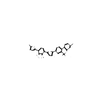 CCCCCCCCC1(CCCCCCCC)Oc2cc(C)ccc2-c2ccc(-c3ccc(-c4ccc(-c5ccc(C)s5)c5nsnc45)s3)cc21